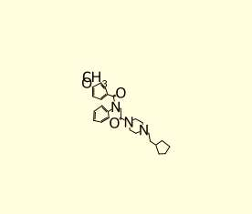 COc1ccc(C(=O)N(CC(=O)N2CCN(CCC3CCCC3)CC2)c2ccccc2)cc1